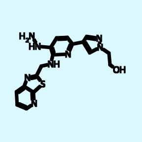 NNc1ccc(-c2cnn(CCO)c2)nc1NCc1nc2cccnc2s1